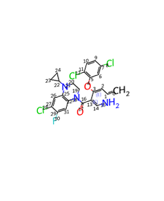 C=C/C=C(Oc1cc(Cl)ccc1Cl)\C(=C/N)C(=O)N1CCN(C2CC2)c2cc(Cl)c(F)cc21